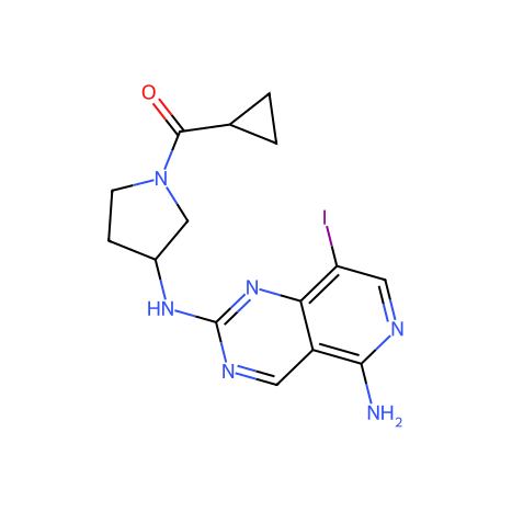 Nc1ncc(I)c2nc(NC3CCN(C(=O)C4CC4)C3)ncc12